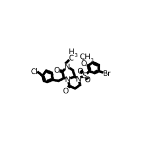 CCN1CC2N(C(=O)CCN2S(=O)(=O)c2cc(Br)ccc2OC)C(Cc2ccc(Cl)cc2)C1=O